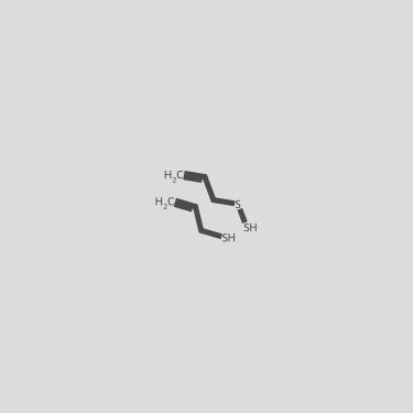 C=CCS.C=CCSS